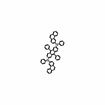 c1ccc(-c2c3ccc(N(c4ccccc4)c4ccc5ccc6ccccc6c5c4)cc3c(-c3ccccc3)c3ccc(N(c4ccccc4)c4ccc5ccc6ccccc6c5c4)cc23)cc1